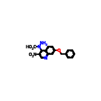 NN(C(=O)O)c1c([N+](=O)[O-])cnc2cc(OCc3ccccc3)ccc12